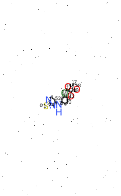 CSc1nccc(Nc2ccc(OC3COC4CCOC43)c(Cl)c2)n1